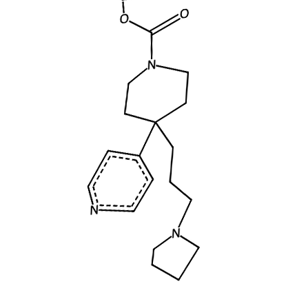 CC(C)(C)OC(=O)N1CCC(CCCN2CCCC2)(c2ccncc2)CC1